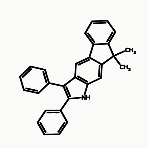 CC1(C)c2ccccc2-c2cc3c(-c4ccccc4)c(-c4ccccc4)[nH]c3cc21